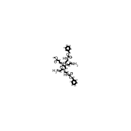 COC(=O)CCNC(=O)C(CN(CCN)CCNC(=O)OCc1ccccc1)N(CCN)CCNC(=O)OCc1ccccc1